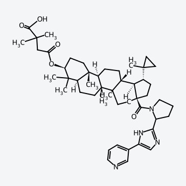 CC(C)(CC(=O)O[C@H]1CC[C@]2(C)[C@H]3CC[C@@H]4[C@H]5[C@H](C6(C)CC6)CC[C@]5(C(=O)N5CCCC5c5ncc(-c6cccnc6)[nH]5)CC[C@@]4(C)[C@]3(C)CC[C@H]2C1(C)C)C(=O)O